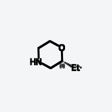 C[CH][C@@H]1CNCCO1